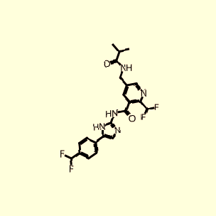 CC(C)C(=O)NCc1cnc(C(F)F)c(C(=O)Nc2ncc(-c3ccc(C(F)F)cc3)[nH]2)c1